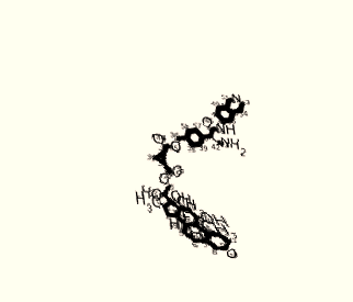 C[C@@H]1C[C@H]2[C@@H]3CCC4=CC(=O)C=C[C@]4(C)[C@@]3(F)[C@@H](O)C[C@]2(C)[C@@]1(O)C(O)COC(=O)C1CC1C(=O)OCc1ccc([C@@H](CN)C(=O)Nc2ccc3cnccc3c2)cc1